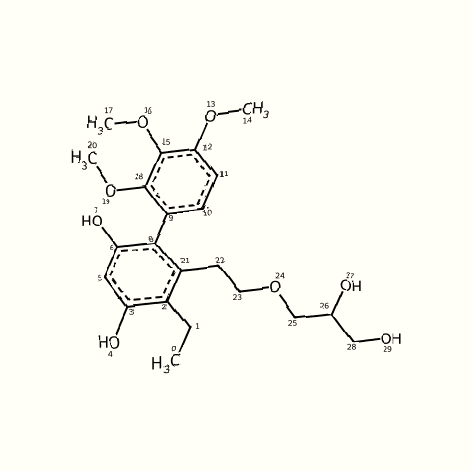 CCc1c(O)cc(O)c(-c2[c]cc(OC)c(OC)c2OC)c1CCOCC(O)CO